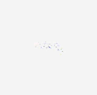 CN(c1cc(-c2cc3cnc(NC4CCOCC4)cc3[nH]2)ccn1)C(F)C(F)F